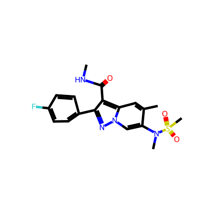 CNC(=O)c1c(-c2ccc(F)cc2)nn2cc(N(C)S(C)(=O)=O)c(C)cc12